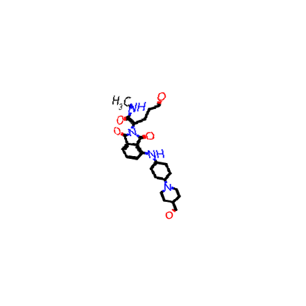 CNC(=O)C(CCC=O)N1C(=O)c2cccc(NC3CCC(N4CCC(C=O)CC4)CC3)c2C1=O